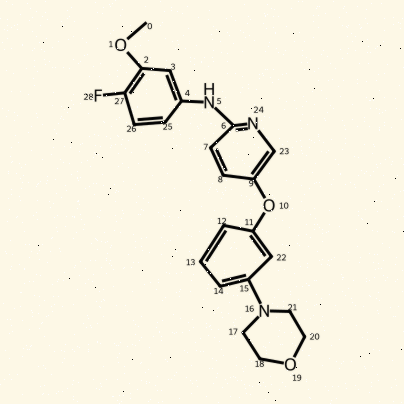 COc1cc(Nc2ccc(Oc3cccc(N4CCOCC4)c3)cn2)ccc1F